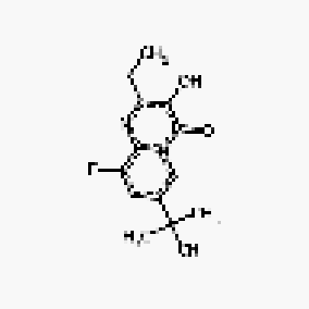 CCc1nc2c(F)cc(C(C)(C)C)cn2c(=O)c1O